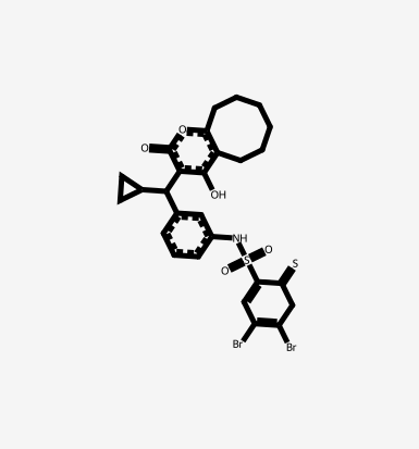 O=c1oc2c(c(O)c1C(c1cccc(NS(=O)(=O)C3=CC(Br)=C(Br)CC3=S)c1)C1CC1)CCCCCC2